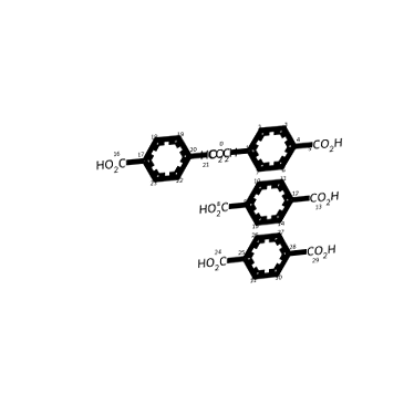 O=C(O)c1ccc(C(=O)O)cc1.O=C(O)c1ccc(C(=O)O)cc1.O=C(O)c1ccc(C(=O)O)cc1.O=C(O)c1ccc(C(=O)O)cc1